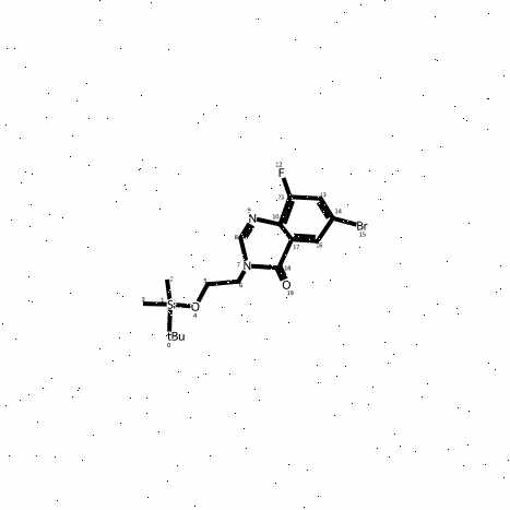 CC(C)(C)[Si](C)(C)OCCn1cnc2c(F)cc(Br)cc2c1=O